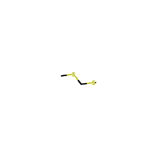 CSC[S]